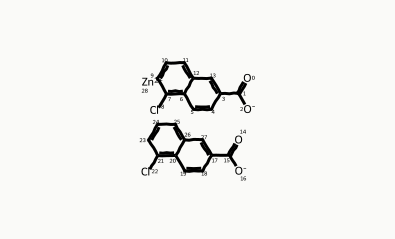 O=C([O-])c1ccc2c(Cl)cccc2c1.O=C([O-])c1ccc2c(Cl)cccc2c1.[Zn+2]